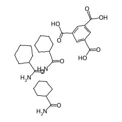 NC(=O)C1CCCCC1.NC(=O)C1CCCCC1.NC(=O)C1CCCCC1.O=C(O)c1cc(C(=O)O)cc(C(=O)O)c1